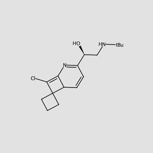 CC(C)(C)NC[C@H](O)C1=NC2=C(Cl)C3(CCC3)C2C=C1